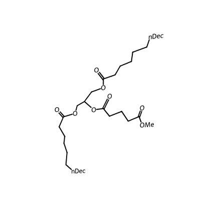 CCCCCCCCCCCCCCCC(=O)OCC(COC(=O)CCCCCCCCCCCCCCC)OC(=O)CCCC(=O)OC